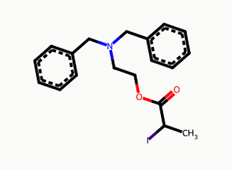 CC(I)C(=O)OCCN(Cc1ccccc1)Cc1ccccc1